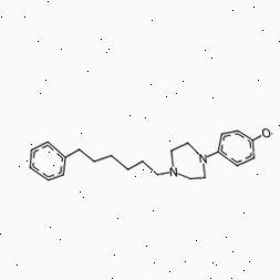 [O]c1ccc(N2CCN(CCCCCCc3ccccc3)CC2)cc1